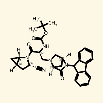 CC(C)(C)OC(=O)N[C@@H](CN1C[C@@H]2C[C@H]1C(=O)N2C1c2ccccc2-c2ccccc21)C(=O)N1[C@H](C#N)C[C@@H]2C[C@@H]21